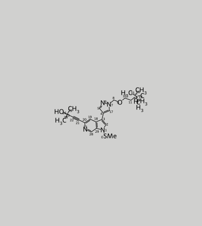 CSn1cc(-c2cnn(COCC[SH](C)(C)(C)C)c2)c2cc(C#CC(C)(C)O)ncc21